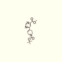 COC(=O)c1cc(C2=CCN(C(=O)OC(C)(C)C)CC2)ncn1